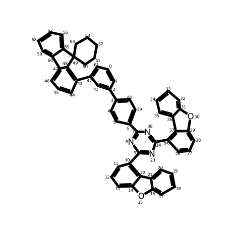 c1cc(-c2ccc(-c3nc(-c4cccc5oc6ccccc6c45)nc(-c4cccc5oc6ccccc6c45)n3)cc2)cc(-c2cccc3c2C2(CCCCC2)c2ccccc2-3)c1